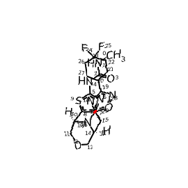 CNC(=O)Nc1nc2c(s1)[C@@H]1COC[C@H](C2)N1c1nc(C2CCC(F)(F)CC2)no1